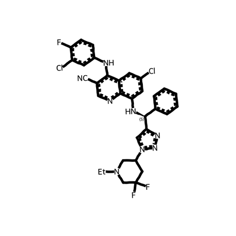 CCN1CC(n2cc([C@@H](Nc3cc(Cl)cc4c(Nc5ccc(F)c(Cl)c5)c(C#N)cnc34)c3ccccc3)nn2)CC(F)(F)C1